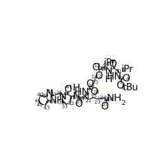 CC(C)[C@H](NC(=O)OC(C)(C)C)C(=O)N[C@H](C(=O)OCCOC(=O)N[C@@H](CC/C=C/C(N)=O)C(=O)Nc1cccn(Cc2nc3ccccc3[nH]2)c1=O)C(C)C